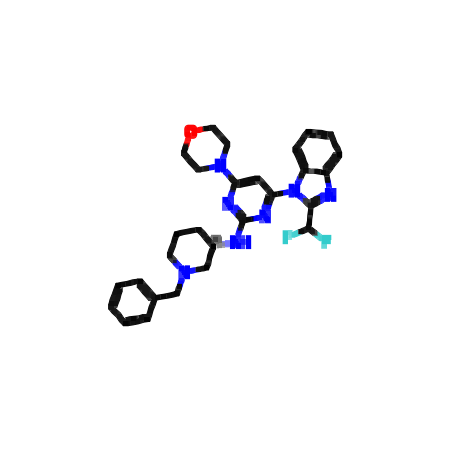 FC(F)c1nc2ccccc2n1-c1cc(N2CCOCC2)nc(N[C@H]2CCCN(Cc3ccccc3)C2)n1